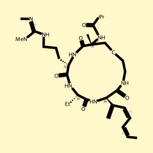 C=C(/C=C\C=C/C)[C@H]1NC(=O)[C@H](CC)NC(=O)[C@H](CCCN/C(=N/C)NC)NC(=O)[C@](C)(NC(=O)C(C)C)CCCCNC1=O